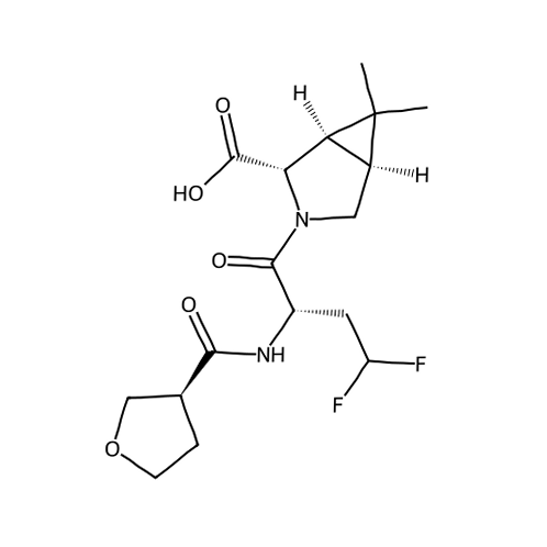 CC1(C)[C@@H]2[C@@H](C(=O)O)N(C(=O)[C@H](CC(F)F)NC(=O)[C@H]3CCOC3)C[C@@H]21